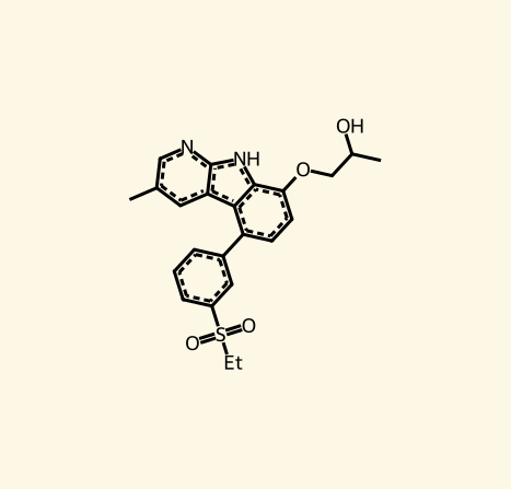 CCS(=O)(=O)c1cccc(-c2ccc(OCC(C)O)c3[nH]c4ncc(C)cc4c23)c1